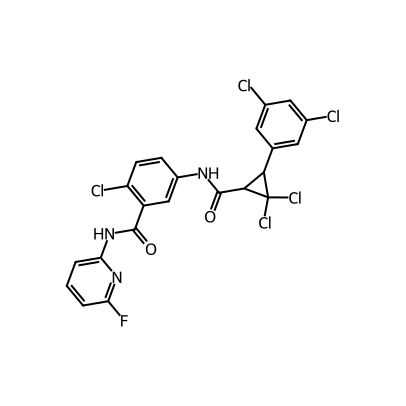 O=C(Nc1cccc(F)n1)c1cc(NC(=O)C2C(c3cc(Cl)cc(Cl)c3)C2(Cl)Cl)ccc1Cl